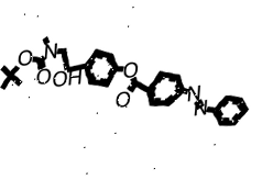 CN(CC(O)c1ccc(OC(=O)c2ccc(N=Nc3ccccc3)cc2)cc1)C(=O)OC(C)(C)C